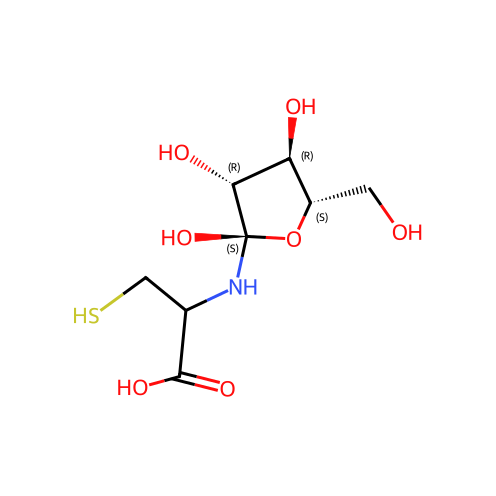 O=C(O)C(CS)N[C@@]1(O)O[C@@H](CO)[C@H](O)[C@H]1O